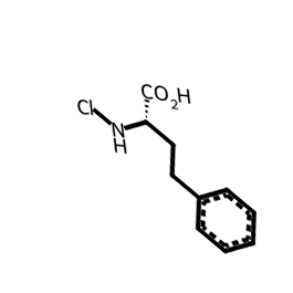 O=C(O)[C@H](CCc1ccccc1)NCl